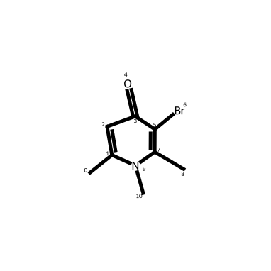 Cc1cc(=O)c(Br)c(C)n1C